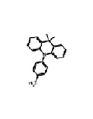 Bc1ccc(N2c3ccccc3C(C)(C)c3ccccc32)cc1